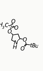 CC(C)(C)C(=O)OC1CC(OS(C)(=O)=O)CN1